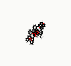 CC1=CC2=C(C=CC=CC2c2cc(F)c3ccccc3c2)[C]12[SiH](C)[C]1(C(C)=CC3=C1C=CC=CC3c1cc(F)c3ccccc3c1)[Hf]21([Cl])([Cl])[C]2(C(C)=CC3=C2C=CC=CC3c2cc(F)c3ccccc3c2)[SiH](C)[C]12C(C)=CC1=C2C=CC=CC1c1cc(F)c2ccccc2c1